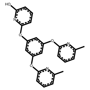 Cc1cccc(Oc2cc(Oc3cccc(C)n3)cc(Oc3cccc(O)n3)c2)n1